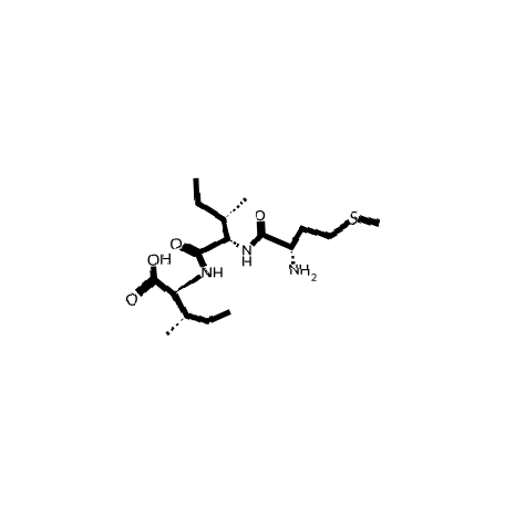 CC[C@H](C)[C@H](NC(=O)[C@@H](NC(=O)[C@@H](N)CCSC)[C@@H](C)CC)C(=O)O